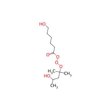 CC(O)CC(C)(C)OOOC(=O)CCCCCO